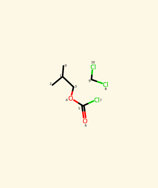 CC(C)COC(=O)Cl.ClCCl